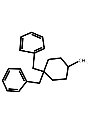 CC1CCC(Cc2ccccc2)(Cc2ccccc2)CC1